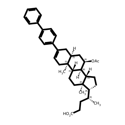 CC(=O)O[C@@H]1C[C@@H]2CC(c3ccc(-c4ccccc4)cc3)=CC[C@]2(C)[C@H]2CC[C@]3(C)[C@@H]([C@H](C)CCC(=O)O)CC[C@H]3[C@H]12